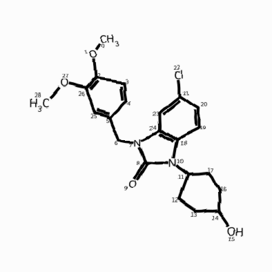 COc1ccc(Cn2c(=O)n(C3CCC(O)CC3)c3ccc(Cl)cc32)cc1OC